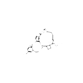 CO[C@]1(C=O)/C=C/C[C@H](C)[C@@H](C)S(=O)(=O)NC(=O)c2ccc3c(c2)N(CCCCC2C=C(Cl)C=CC2(C)CO3)C[C@@H]2CC[C@H]21